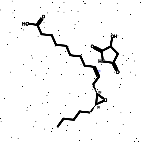 CCCCC[C@H]1O[C@H]1C/C=C\CCCCCCCC(=O)O.O=C1CC(O)C(=O)N1